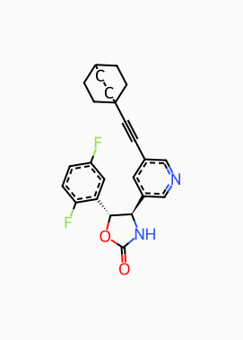 O=C1N[C@H](c2cncc(C#CC34CCC(CC3)CC4)c2)[C@@H](c2cc(F)ccc2F)O1